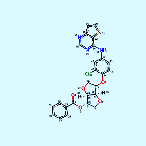 O=C(O[C@H]1CO[C@@H]2C(Oc3ccc(Nc4ncnc5ccsc45)cc3Cl)CO[C@H]12)c1ccccc1